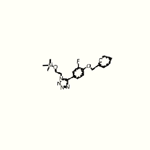 C[Si](C)(C)OCCn1nnnc1-c1ccc(OCc2ccccc2)c(F)c1